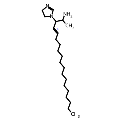 CCCCCCCCCCCCCC/C=C/C(C(C)N)N1C=NCC1